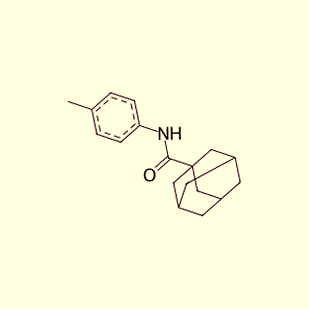 Cc1ccc(NC(=O)C23CC4CC(CC(C4)C2)C3)cc1